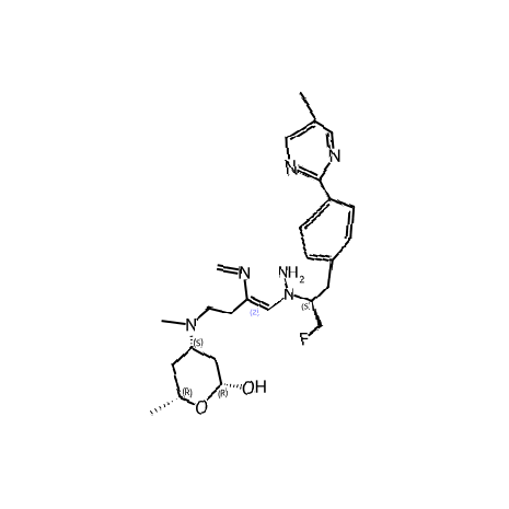 C=N/C(=C\N(N)[C@H](CF)Cc1ccc(-c2ncc(C)cn2)cc1)CCN(C)[C@H]1C[C@@H](C)O[C@@H](O)C1